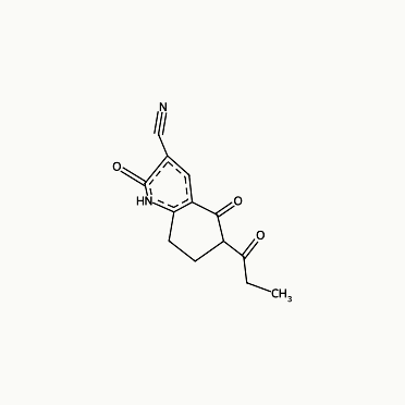 CCC(=O)C1CCc2[nH]c(=O)c(C#N)cc2C1=O